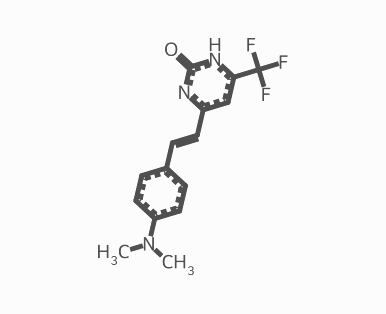 CN(C)c1ccc(C=Cc2cc(C(F)(F)F)[nH]c(=O)n2)cc1